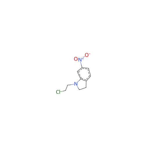 O=[N+]([O-])c1ccc2c(c1)N(CCCl)CC2